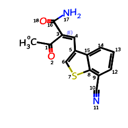 CC(=O)/C(=C\c1csc2c(C#N)cccc12)C(N)=O